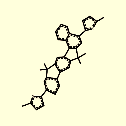 Cc1ccc(-c2ccc3c(c2)C(C)(C)c2cc4c(cc2-3)C(C)(C)c2cc(-c3ccc(C)s3)c3ccccc3c2-4)s1